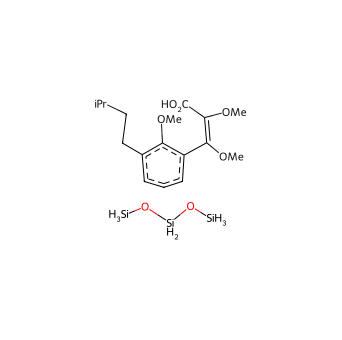 COC(C(=O)O)=C(OC)c1cccc(CCC(C)C)c1OC.[SiH3]O[SiH2]O[SiH3]